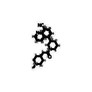 CN1CCC(CC(=O)N2CCCC(c3ccc(C#N)c4ncccc34)C2)CC1